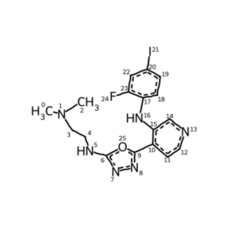 CN(C)CCNc1nnc(-c2ccncc2Nc2ccc(I)cc2F)o1